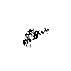 Cc1ccc2c(NCC[C@H]3CC3(F)F)cccc2c1Oc1ncccc1-c1ccnc(NC2CCCNC2)n1